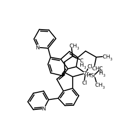 CC(C)CC1=Cc2c(-c3ccccn3)cccc2[CH]1[Zr]([Cl])([Cl])([CH]1C(CC(C)C)=Cc2c(-c3ccccn3)cccc21)[SiH](C)C